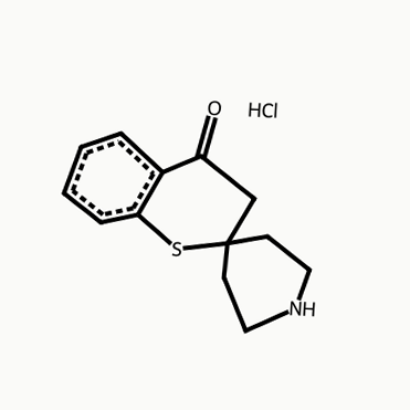 Cl.O=C1CC2(CCNCC2)Sc2ccccc21